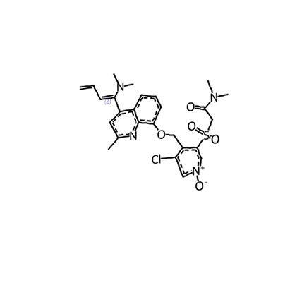 C=C/C=C(/c1cc(C)nc2c(OCc3c(Cl)c[n+]([O-])cc3S(=O)(=O)CC(=O)N(C)C)cccc12)N(C)C